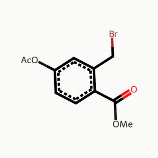 COC(=O)c1ccc(OC(C)=O)cc1CBr